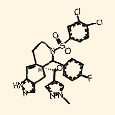 Cn1cc(C(=O)[C@]23Cc4cn[nH]c4C=C2CCN(S(=O)(=O)c2ccc(Cl)c(Cl)c2)C3c2ccc(F)cc2)cn1